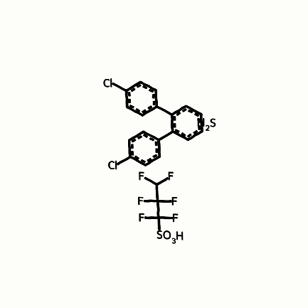 Clc1ccc(-c2ccccc2-c2ccc(Cl)cc2)cc1.O=S(=O)(O)C(F)(F)C(F)(F)C(F)F.S